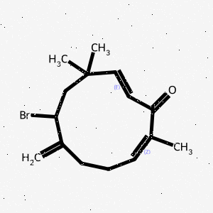 C=C1CC/C=C(/C)C(=O)/C=C/C(C)(C)CC1Br